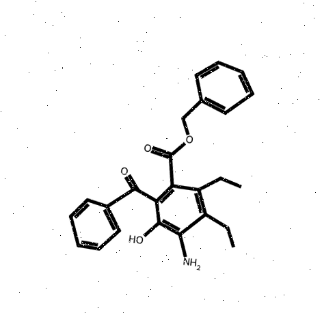 CCc1c(N)c(O)c(C(=O)c2ccccc2)c(C(=O)OCc2ccccc2)c1CC